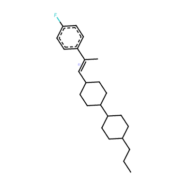 CCCC1CCC(C2CCC(/C=C(\C)c3ccc(F)cc3)CC2)CC1